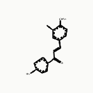 COc1ccc(/C=C/C(=O)c2ccc(C(C)(C)C)cc2)cc1C